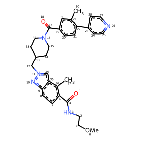 COCCNC(=O)c1ccc2nn(CC3CCN(C(=O)c4ccc(-c5ccncc5)c(C)c4)CC3)cc2c1C